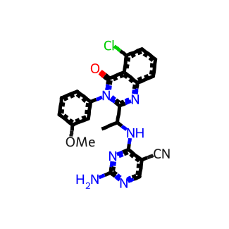 COc1cccc(-n2c(C(C)Nc3nc(N)ncc3C#N)nc3cccc(Cl)c3c2=O)c1